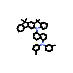 Cc1cccc(N(c2cccc(C)c2)c2cccc3c(N4c5ccccc5C(C)(C)c5cc6c(cc54)-c4ccccc4C6(C)C)cccc23)c1